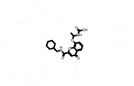 CC(NC(=O)O)Oc1cccc2c(=O)cc(C(=O)NCC3CCCCC3)oc12